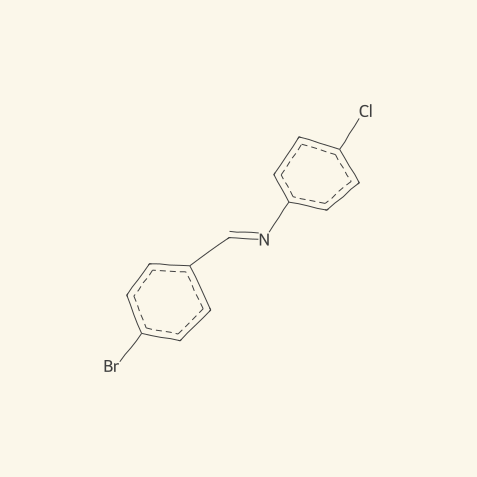 Clc1ccc(N=Cc2ccc(Br)cc2)cc1